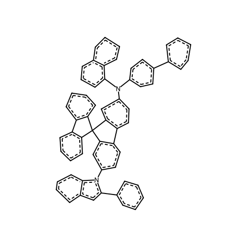 c1ccc(-c2ccc(N(c3ccc4c(c3)C3(c5ccccc5-c5ccccc53)c3cc(-n5c(-c6ccccc6)cc6ccccc65)ccc3-4)c3cccc4ccccc34)cc2)cc1